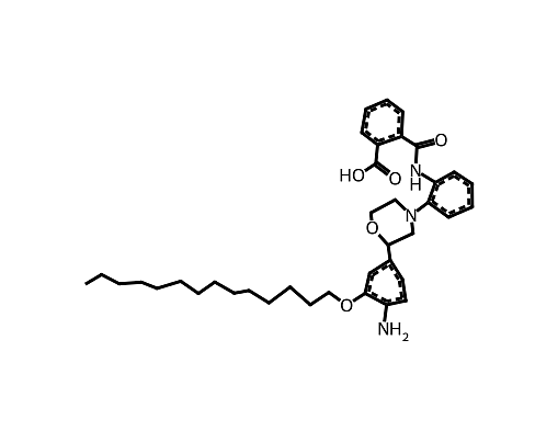 CCCCCCCCCCCCCCOc1cc(C2CN(c3ccccc3NC(=O)c3ccccc3C(=O)O)CCO2)ccc1N